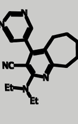 CCN(CC)c1nc2c(c(-c3cncnc3)c1C#N)CCCCC2